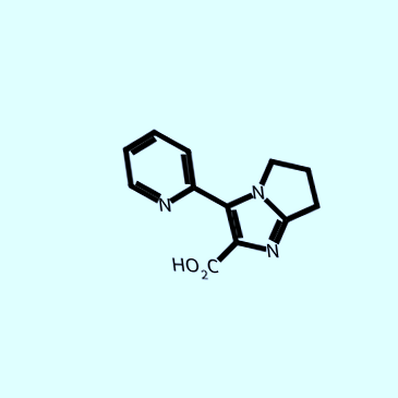 O=C(O)c1nc2n(c1-c1ccccn1)CCC2